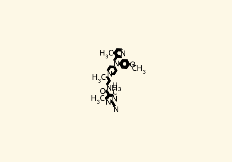 COc1ccc(N(Cc2cnccc2C)C2CCN([C@H](C)CCNC(=O)c3c(C)nc(C#N)nc3C)CC2)cc1